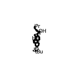 CC(C)CC#C[C@](C)(O)[C@H]1CC[C@H]2[C@@H]3CC=C4C[C@@H](O[Si](C)(C)C(C)(C)C)CC[C@]4(C)[C@H]3CC[C@@]21C